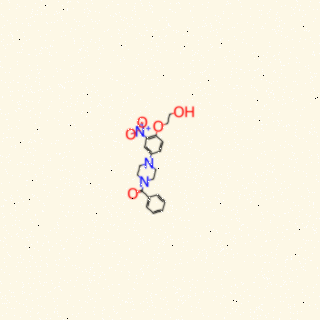 O=C(c1ccccc1)N1CCN(c2ccc(OCCO)c([N+](=O)[O-])c2)CC1